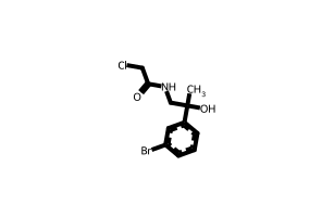 CC(O)(CNC(=O)CCl)c1cccc(Br)c1